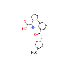 Cc1ccc(OC(=O)c2cccc3c2NC(C(=O)O)C2CC=CC32)cc1